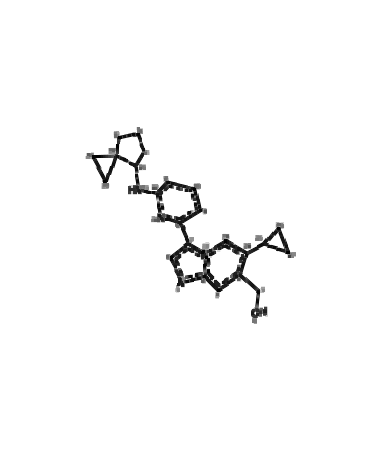 OCc1cc2ncc(-c3cccc(NC4CCCC45CC5)n3)n2cc1C1CC1